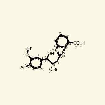 CCOc1cc([C@@H](O)[C@H](Cc2nc3c(C(=O)O)cccc3s2)OCC(C)C)ccc1C(C)=O